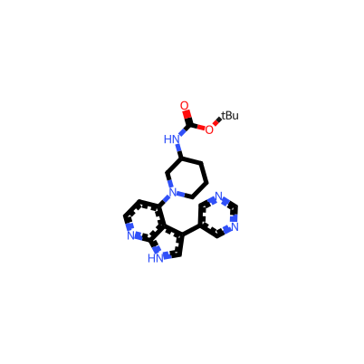 CC(C)(C)OC(=O)NC1CCCN(c2ccnc3[nH]cc(-c4cncnc4)c23)C1